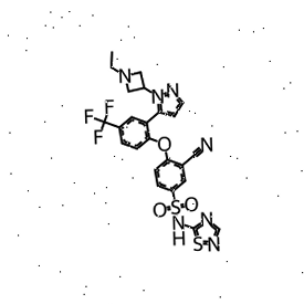 CCN1CC(n2nccc2-c2cc(C(F)(F)F)ccc2Oc2ccc(S(=O)(=O)Nc3ncns3)cc2C#N)C1